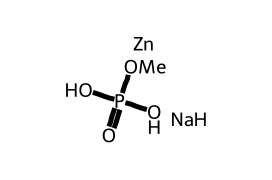 COP(=O)(O)O.[NaH].[Zn]